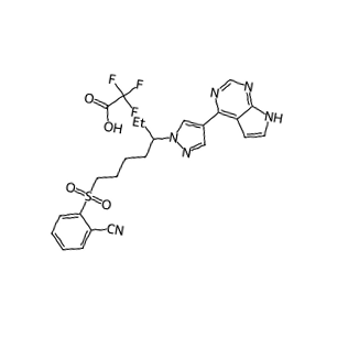 CCC(CCCCS(=O)(=O)c1ccccc1C#N)n1cc(-c2ncnc3[nH]ccc23)cn1.O=C(O)C(F)(F)F